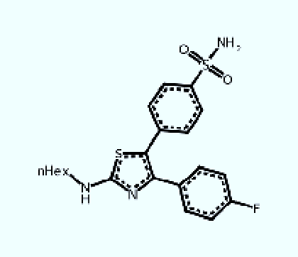 CCCCCCNc1nc(-c2ccc(F)cc2)c(-c2ccc(S(N)(=O)=O)cc2)s1